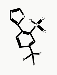 O=S(=O)(Cl)c1cc(C(F)(F)F)ccc1-c1cccs1